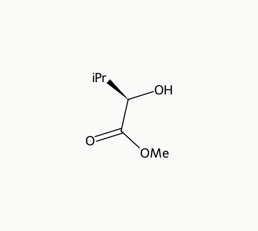 COC(=O)[C@H](O)C(C)C